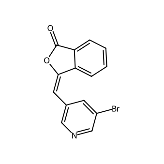 O=C1O/C(=C/c2cncc(Br)c2)c2ccccc21